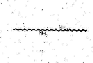 CCCCCCCCCCCCC(N)CCCCCCCCC(N)CCCCCCCCCCCC